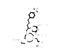 CC(C)(C)OC(=O)CN1CCN(CC(=O)OC(C)(C)C)CCN(CC(CCCc2ccc([N+]([O-])([O-])O)cc2)N(CC(=O)OC(C)(C)C)CC(=O)OC(C)(C)C)CC1